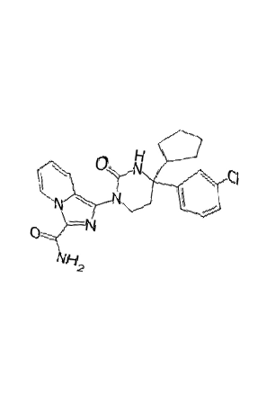 NC(=O)c1nc(N2CCC(c3cccc(Cl)c3)(C3CCCC3)NC2=O)c2ccccn12